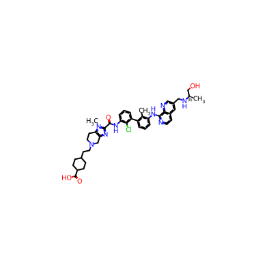 Cc1c(Nc2nccc3cc(CN[C@H](C)CO)cnc23)cccc1-c1cccc(NC(=O)c2nc3c(n2C)CCN(CCC2CCC(C(=O)O)CC2)C3)c1Cl